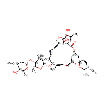 CC[C@H](C)C1O[C@]2(C=C[C@@H]1C)C[C@@H]1C[C@@H](C/C=C(\C)[C@@H](O[C@H]3C[C@H](OC)[C@@H](O[C@H]4C[C@H](OC)[C@@H](O)[C@H](C)O4)[C@H](C)O3)[C@@H](C)/C=C/C=C3\CO[C@@H]4[C@H](O)C(C)=CC(C(=O)O1)[C@]34O)O2